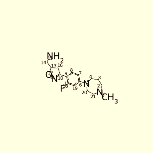 CN1CCCN(c2ccc(C3=NOC(CN)C3)c(F)c2)CC1